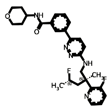 C[C@H](F)C[C@@](C)(CNc1ccc(-c2cccc(C(=O)NC3CCOCC3)c2)nn1)c1ncccc1F